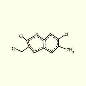 Cc1cc2cc(CCl)c(Cl)nc2cc1Cl